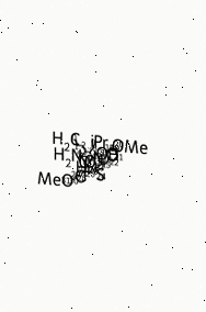 C=CCC(C(N)=O)C(CC(C)C)C(=O)N(O)C(Cc1ccc(OC)cc1)C(=S)NCCOCCOC